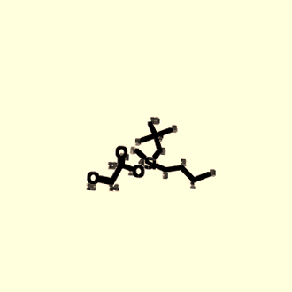 CCCC[Si](C)(CC(C)(C)C)OC(=O)C=O